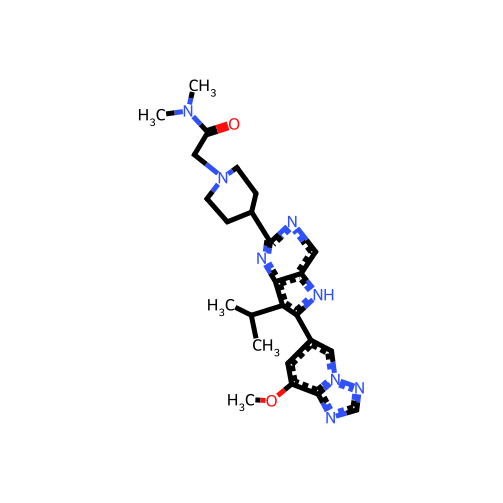 COc1cc(-c2[nH]c3cnc(C4CCN(CC(=O)N(C)C)CC4)nc3c2C(C)C)cn2ncnc12